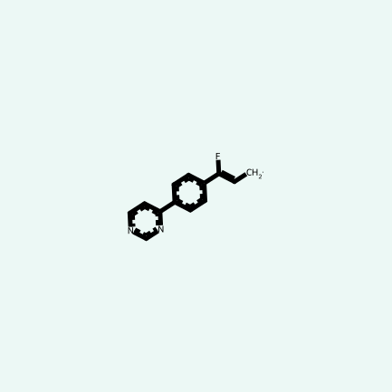 [CH2]/C=C(\F)c1ccc(-c2ccncn2)cc1